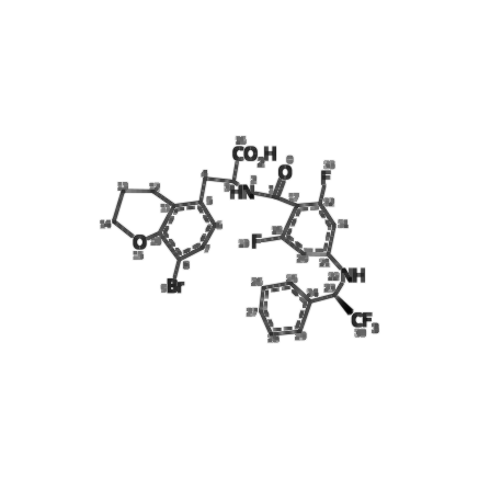 O=C(NC(Cc1ccc(Br)c2c1CCCO2)C(=O)O)c1c(F)cc(N[C@H](c2ccccc2)C(F)(F)F)cc1F